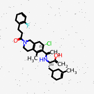 C=C(N[C@@H](CC1CCC=C(C)C1)C(=C)O)C1=C(C)C2=C(C[C@@H]1Cl)CN(C(=O)CCC1=C(F)C=CCC1)CC2